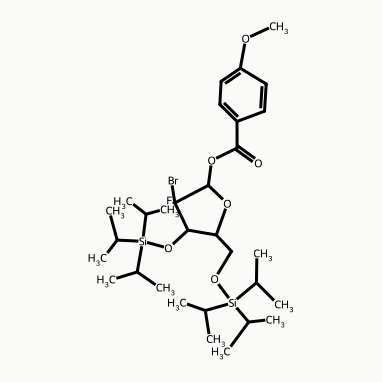 COc1ccc(C(=O)OC2OC(CO[Si](C(C)C)(C(C)C)C(C)C)C(O[Si](C(C)C)(C(C)C)C(C)C)C2(F)Br)cc1